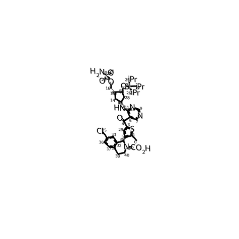 Cc1sc(C(=O)c2cncnc2N[C@@H]2C[C@H](COS(N)(=O)=O)[C@@H](O[Si](C(C)C)(C(C)C)C(C)C)C2)cc1[C@H]1c2cc(Cl)ccc2CCN1C(=O)O